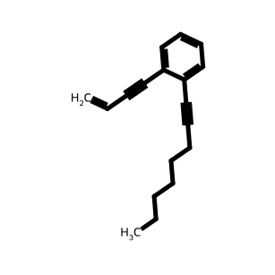 C=CC#Cc1ccccc1C#CCCCCCC